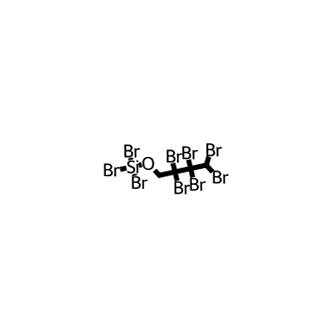 BrC(Br)C(Br)(Br)C(Br)(Br)CO[Si](Br)(Br)Br